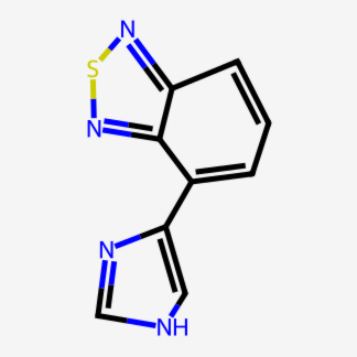 c1cc(-c2c[nH]cn2)c2nsnc2c1